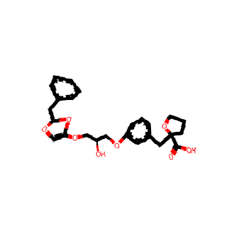 O=C(O)C1(Cc2cccc(OC[C@@H](O)COC3=COC(Cc4ccccc4)O3)c2)CCCO1